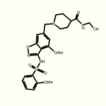 COc1ccccc1S(=O)(=O)Nc1noc2cc(CN3CCC(C(=O)NCC#N)CC3)cc(OC)c12